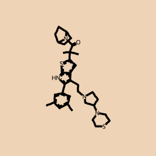 Cc1cc(C)cc(-c2[nH]c3sc(C(C)(C)C(=O)N4C5CCC4CC5)cc3c2CCN2CCC(N3CCSCC3)C2)c1